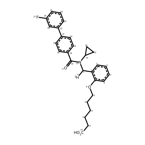 [2H]C(c1ccccc1OCCCCCC(=O)O)N(C(=O)c1ccc(-c2cccc(F)c2)cc1)C1CC1